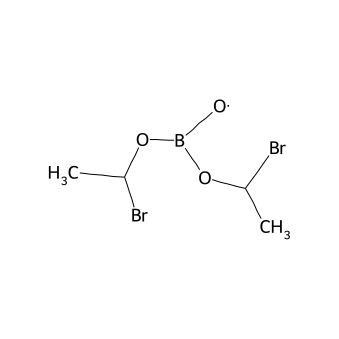 CC(Br)OB([O])OC(C)Br